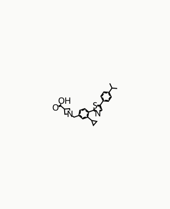 CC(C)c1ccc(-c2cnc(-c3ccc(CN4CC(C(=O)O)C4)cc3C3CC3)s2)cc1